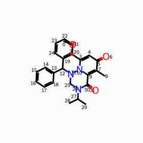 COCc1cc(=O)c(C)c2n1N(C(c1ccccc1)c1ccccc1)CN(C(C)C)C2=O